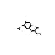 COc1cc2oc(=O)c(CCO)c(C)c2cc1OC(C)C